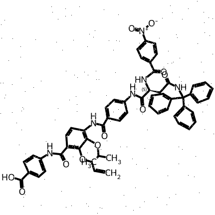 C=CCOc1c(C(=O)Nc2ccc(C(=O)O)cc2)ccc(NC(=O)c2ccc(NC(=O)[C@H](CC(=O)NC(c3ccccc3)(c3ccccc3)c3ccccc3)NC(=O)c3ccc([N+](=O)[O-])cc3)cc2)c1OC(C)C